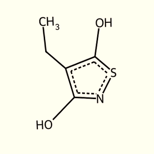 CCc1c(O)nsc1O